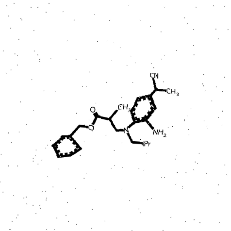 CC(C)CN(CC(C)C(=O)OCc1ccccc1)c1ccc(C(C)C#N)cc1N